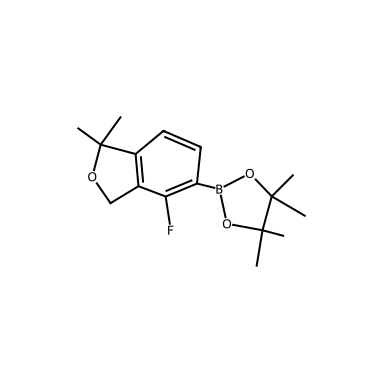 CC1(C)OCc2c1ccc(B1OC(C)(C)C(C)(C)O1)c2F